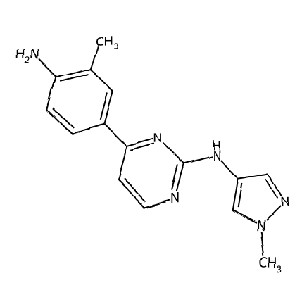 Cc1cc(-c2ccnc(Nc3cnn(C)c3)n2)ccc1N